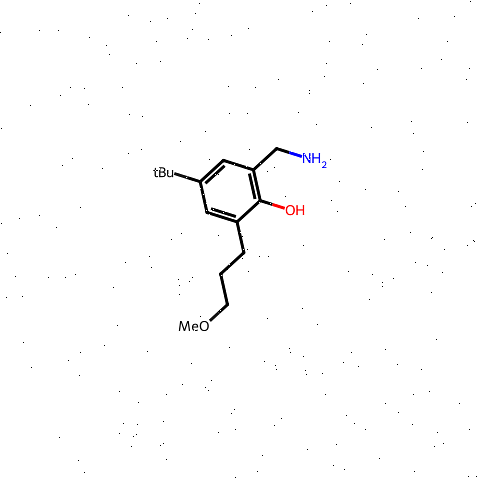 COCCCc1cc(C(C)(C)C)cc(CN)c1O